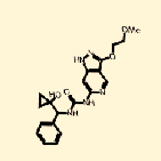 COCCOc1n[nH]c2cc(NC(=O)NC(c3ccccc3)C3(O)CC3)ncc12